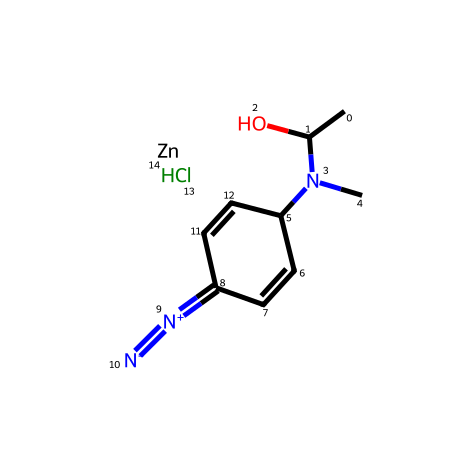 CC(O)N(C)C1C=CC(=[N+]=[N-])C=C1.Cl.[Zn]